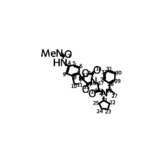 CNC(=O)Nc1ccc2c(c1)CC[C@@]21OC(=O)N(CC(=O)N(C2CCCC2)C(C)c2ccccc2)C1=O